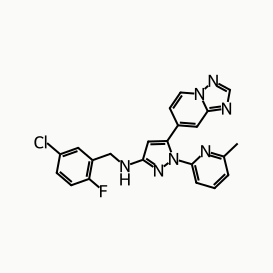 Cc1cccc(-n2nc(NCc3cc(Cl)ccc3F)cc2-c2ccn3ncnc3c2)n1